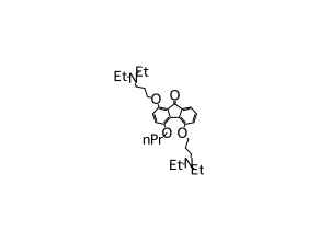 CCCOc1ccc(OCCCN(CC)CC)c2c1-c1c(OCCCN(CC)CC)cccc1C2=O